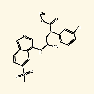 CC(C)(C)OC(=O)N(CC(C#N)Nc1cncc2ccc(S(C)(=O)=O)cc12)c1cccc(Cl)c1